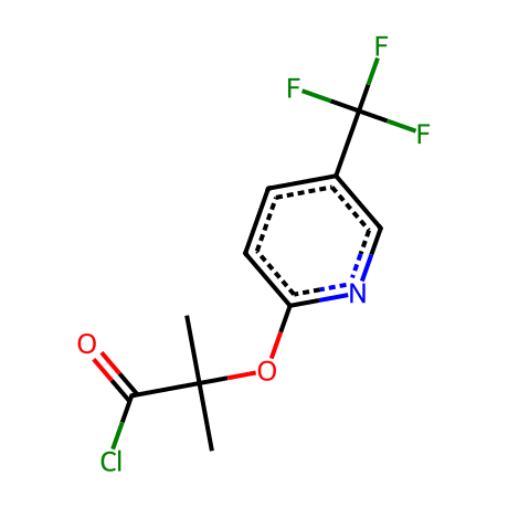 CC(C)(Oc1ccc(C(F)(F)F)cn1)C(=O)Cl